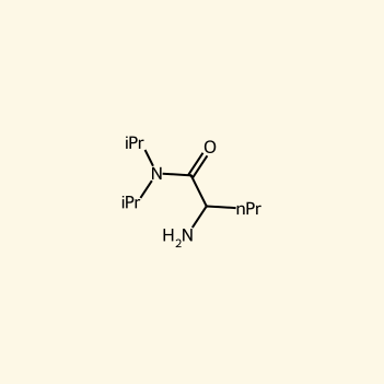 CCCC(N)C(=O)N(C(C)C)C(C)C